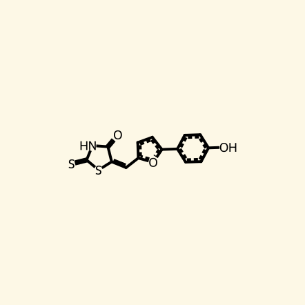 O=C1NC(=S)SC1=Cc1ccc(-c2ccc(O)cc2)o1